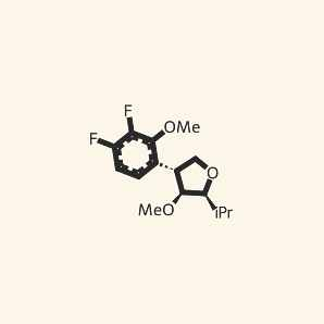 COc1c([C@@H]2CO[C@@H](C(C)C)[C@H]2OC)ccc(F)c1F